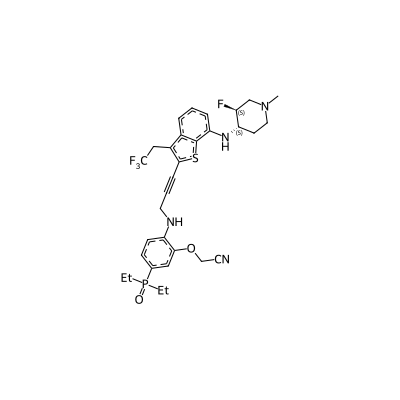 CCP(=O)(CC)c1ccc(NCC#Cc2sc3c(N[C@H]4CCN(C)C[C@@H]4F)cccc3c2CC(F)(F)F)c(OCC#N)c1